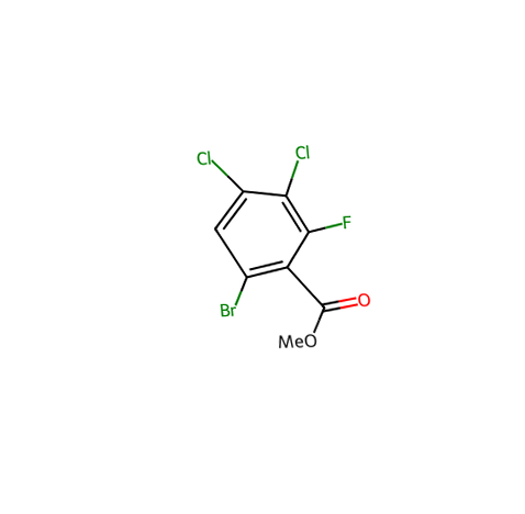 COC(=O)c1c(Br)cc(Cl)c(Cl)c1F